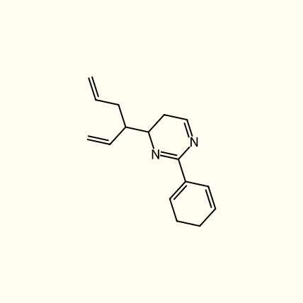 C=CCC(C=C)C1CC=NC(C2=CCCC=C2)=N1